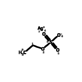 CCOS(=O)(=O)[O-].[Ag+]